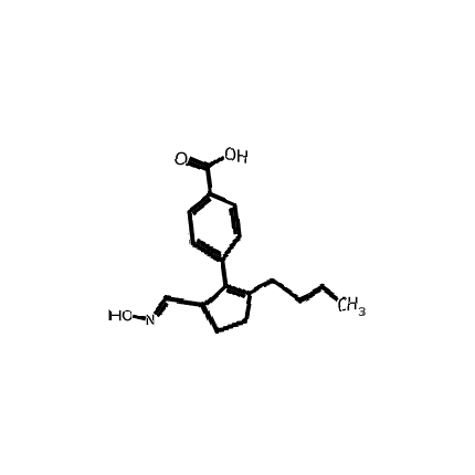 CCCCC1=C(c2ccc(C(=O)O)cc2)C(C=NO)CC1